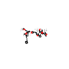 CC(C)[C@H](NC(=O)CCCCCN1C(=O)C=CC1=O)C(=O)N[C@@H](CCCNC(N)=O)C(=O)Nc1ccc(COC(=O)N2CCOC[C@H]2CCN(C(=O)CO)[C@@H](c2nc(-c3cc(F)ccc3F)cn2Cc2ccccc2)C(C)(C)C)cc1